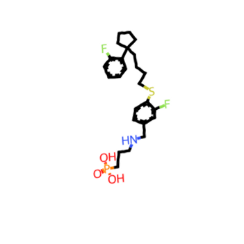 O=P(O)(O)CCCNCc1ccc(SCCCCC2(c3ccccc3F)CCCC2)c(F)c1